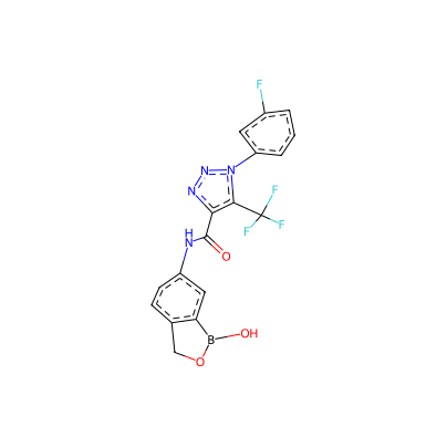 O=C(Nc1ccc2c(c1)B(O)OC2)c1nnn(-c2cccc(F)c2)c1C(F)(F)F